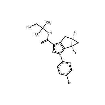 CC(C)(CO)NC(=O)c1nn(-c2ccc(Br)cn2)c2c1C[C@H]1C[C@@H]21